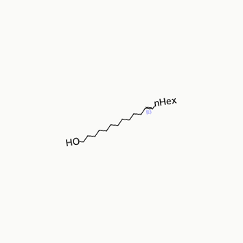 CCCCCC/C=C/CCCCCCCCCCCO